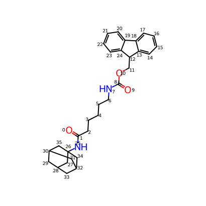 O=C(CCCCCNC(=O)OCC1c2ccccc2-c2ccccc21)NC12CC3CC(CC(C3)C1)C2